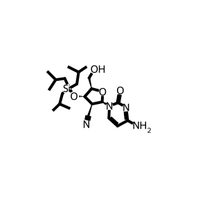 CC(C)C[Si](CC(C)C)(CC(C)C)O[C@H]1[C@H](C#N)[C@H](n2ccc(N)nc2=O)O[C@@H]1CO